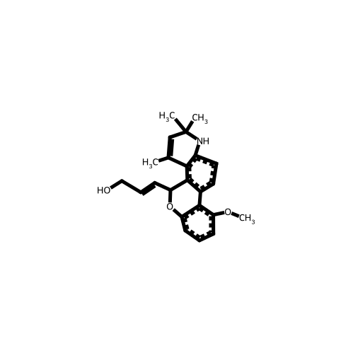 COc1cccc2c1-c1ccc3c(c1C(/C=C/CO)O2)C(C)=CC(C)(C)N3